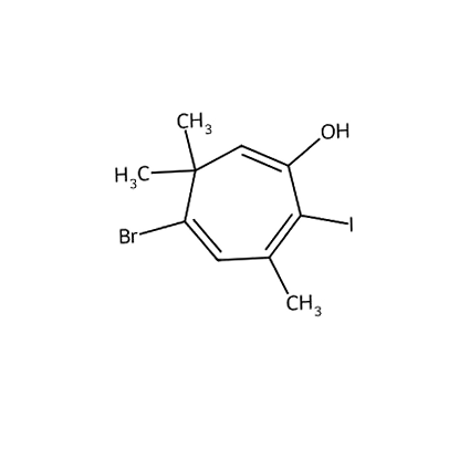 CC1=C(I)C(O)=CC(C)(C)C(Br)=C1